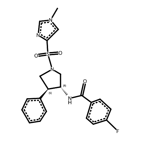 Cn1cnc(S(=O)(=O)N2C[C@H](NC(=O)c3ccc(F)cc3)[C@@H](c3ccccc3)C2)c1